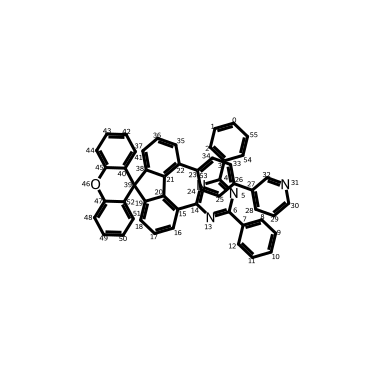 c1ccc(-c2nc(-c3ccccc3)nc(-c3cccc4c3-c3c(-c5ccc(-c6cccnc6)cc5)cccc3C43c4ccccc4Oc4ccccc43)n2)cc1